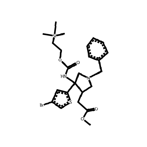 COC(=O)CC1CN(Cc2ccccc2)CC1(NC(=O)OCC[Si](C)(C)C)c1cc(Br)cs1